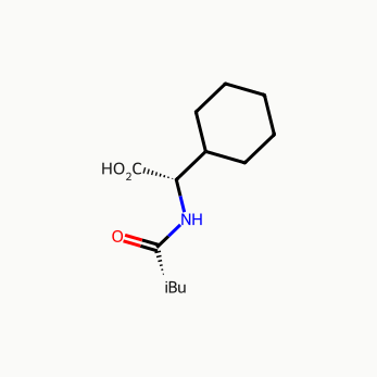 CC[C@@H](C)C(=O)N[C@H](C(=O)O)C1CCCCC1